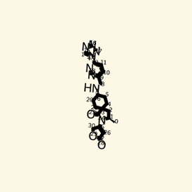 C[C@@H]1CC2(CCC(NCc3ccc(-n4cnnn4)nn3)CC2)C(=O)N1C1=CC(=O)OC1